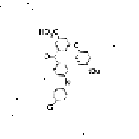 CN(c1ccc(Cl)cc1)c1ccc(C(=O)c2cc(Oc3ccc(C(C)(C)C)cc3)cc(C(=O)O)c2)cc1